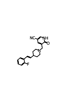 N#Cc1c[nH]c(=O)c(CN2CCC(C=Cc3ccccc3F)CC2)c1